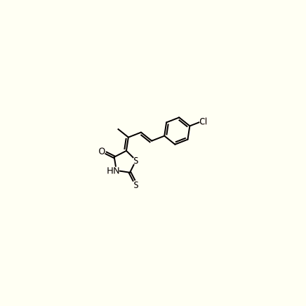 CC(/C=C/c1ccc(Cl)cc1)=C1SC(=S)NC1=O